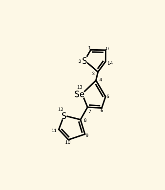 c1csc(-c2ccc(-c3cccs3)[se]2)c1